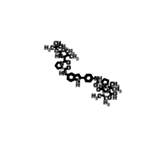 CC(C)[C@@H](NC(=O)OC(C)(C)C)C(=O)N1CCC[C@H]1C(=O)Nc1ccc2[nH]c(-c3ccc(NC(=O)[C@@H]4CCCN4C(=O)[C@@H](C(C)C)N(C(=O)O)C(C)(C)C)cc3)cc2c1